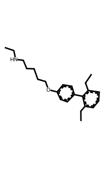 CCNCCCCCOc1ccc(-c2c(CC)cccc2CC)cc1